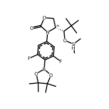 C[SiH](C)OC([C@H]1COC(=O)N1c1cc(F)c(B2OC(C)(C)C(C)(C)O2)c(F)c1)C(C)(C)C